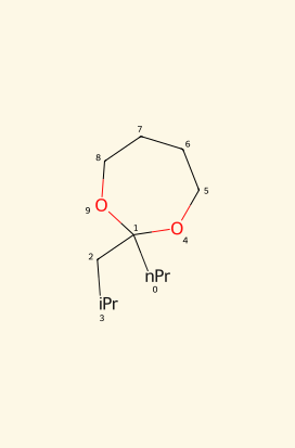 CCCC1(CC(C)C)OCCCCO1